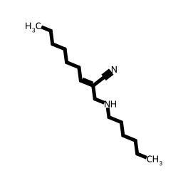 CCCCCCC=C(C#N)CNCCCCCC